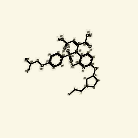 CCCN1CCC(Oc2ccc(N(/C(=C\C(=O)O)C(=O)O)S(=O)(=O)c3ccc(OCC(F)F)cc3)c(C)n2)C1